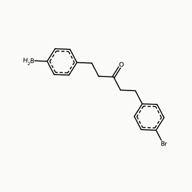 Bc1ccc(CCC(=O)CCc2ccc(Br)cc2)cc1